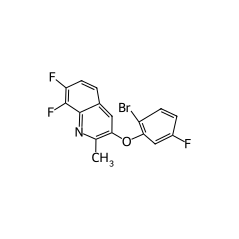 Cc1nc2c(F)c(F)ccc2cc1Oc1cc(F)ccc1Br